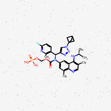 Cc1nc(F)ccc1[C@@H](c1cn(C23CC(C2)C3)nn1)N(C(=O)OCOP(=O)(O)O)c1cc(C#N)c2ncc(C#N)c(N[C@H](C)C(C)(C)C)c2c1